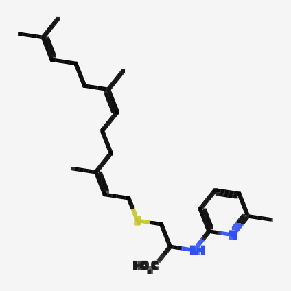 CC(C)=CCCC(C)=CCCC(C)=CCSCC(Nc1cccc(C)n1)C(=O)O